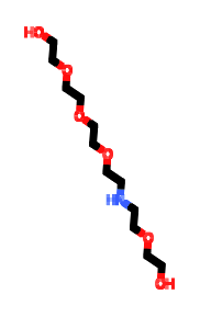 OCCOCCNCCOCCOCCOCCO